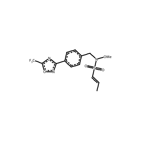 C/C=C/S(=O)(=O)N(Cc1ccc(-c2noc(C(F)(F)F)n2)cc1)OC